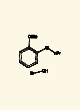 CCCOc1ccccc1OC.OBr